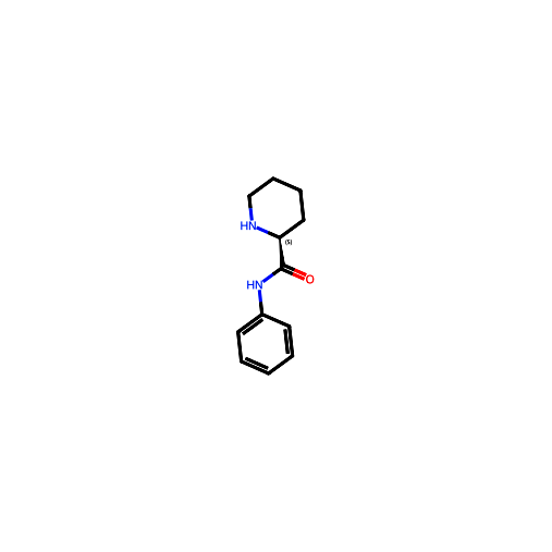 O=C(Nc1ccccc1)[C@@H]1CCCCN1